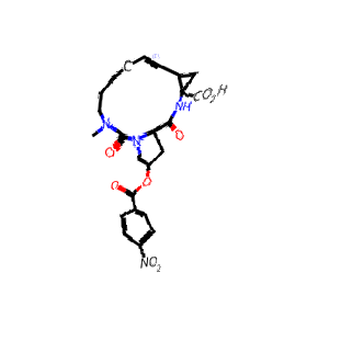 CN1CCCC/C=C/C2CC2(C(=O)O)NC(=O)C2CC(OC(=O)c3ccc([N+](=O)[O-])cc3)CN2C1=O